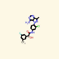 Cc1nn(-c2ccc(NC(=O)[C@H](O)c3cc(F)cc(C(F)(F)F)c3)cc2Cl)c2c(N)ncnc12